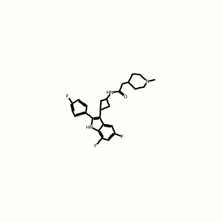 CN1CCC(CC(=O)NC2CC(c3c(-c4ccc(F)cc4)[nH]c4c(F)cc(F)cc34)C2)CC1